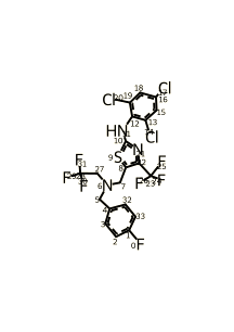 Fc1ccc(CN(Cc2sc(Nc3c(Cl)cc(Cl)cc3Cl)nc2C(F)(F)F)CC(F)(F)F)cc1